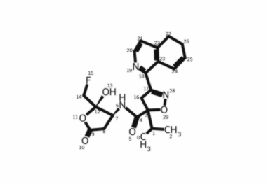 CC(C)C1(C(=O)N[C@H]2CC(=O)O[C@]2(O)CF)CC(c2nccc3c2C=CCC3)=NO1